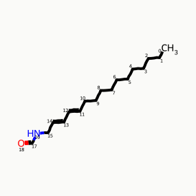 CCCCCCCCCCC/C=C/C=C/CNC=O